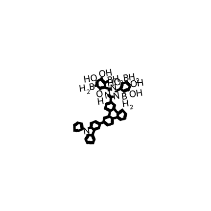 Bc1c(O)c(O)c(B)c(-c2nc(-c3ccc4c5cc(-c6ccc7c(c6)c6ccccc6n7-c6ccccc6)ccc5c5ccccc5c4c3)nc(-c3c(B)c(O)c(O)c(B)c3O)n2)c1O